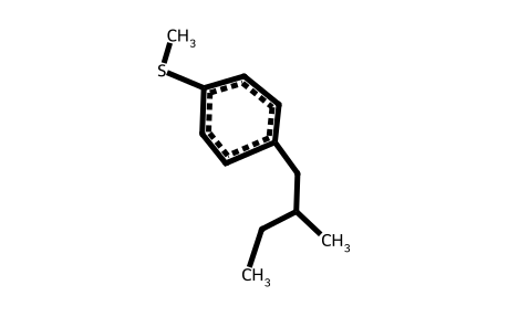 CCC(C)Cc1ccc(SC)cc1